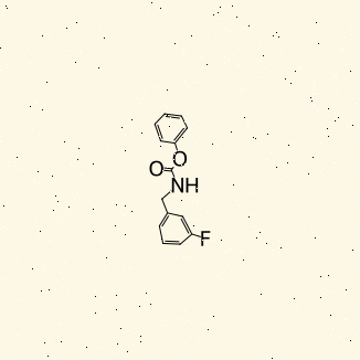 O=C(NCc1cccc(F)c1)Oc1ccccc1